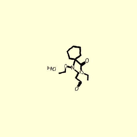 CCOC(=O)C1(N(CCC=O)OCC)CCCCC1.Cl